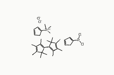 CC1=C(C)C(C)(C)C(C2=C(C)C(C)=C(C)C2(C)C)=C1C.[CH3][Zr+2]([CH3])([CH3])[C]1=CC=CC1.[Cl-].[Cl-].[Cl][Zr]([Cl])[C]1=CC=CC1